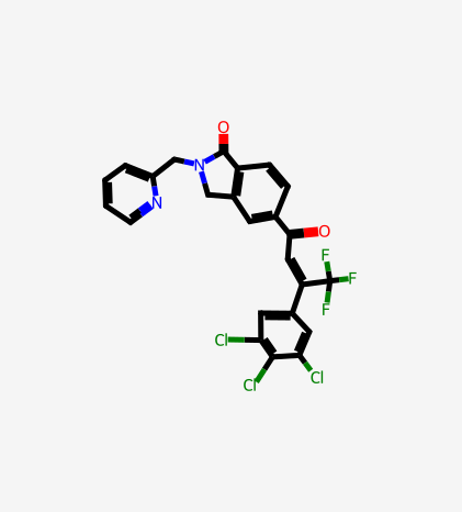 O=C(C=C(c1cc(Cl)c(Cl)c(Cl)c1)C(F)(F)F)c1ccc2c(c1)CN(Cc1ccccn1)C2=O